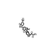 COc1nc(N[C@@H]2CCN(C3COC3)CC2(F)F)nn2cc(F)c(-c3ccn4ncc(C(=O)NC(C)C)c4c3)c12